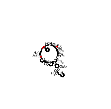 CO[C@H]1C[C@@H]2CCC[C@@](O)(O2)C(=O)C(=O)N2CCCC[C@H]2C(=O)O[C@H]([C@H](C)C[C@@H]2CC[C@@H](OC(=O)C(C)(C)Cc3ccccn3)[C@H](OC)C2)CC(=O)[C@H](C)/C=C(\C)[C@@H](O)[C@@H](OC)C(=O)[C@H](C)C[C@H](C)C2C=CC(/C=C/1C)ON2c1ccccc1